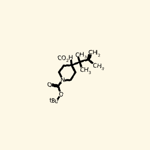 C=C(C)C(C)(C)C1(C(=O)O)CCN(C(=O)OC(C)(C)C)CC1